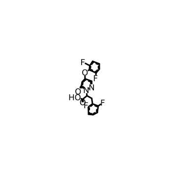 O=C(O)C(Cc1c(F)cccc1F)n1ncc(Oc2c(F)cccc2F)cc1=O